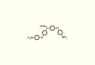 CCCCCCC(c1ccc(Oc2ccc(N)cc2)cc1)c1ccc(Oc2ccc(N)cc2)cc1